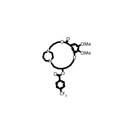 COc1cc2cc(c1OC)OCCCC(OC(=O)c1ccc(C(F)(F)F)cc1)CCN1CCCN(CCCOC2=O)CC1